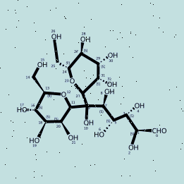 O=C[C@@H](O)[C@@H](O)[C@H](O)[C@H](O)C(O)(C1O[C@H](CO)[C@@H](O)[C@H](O)[C@@H]1O)C1O[C@H](CO)[C@@H](O)[C@H](O)[C@@H]1O